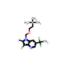 CC(F)(F)c1cnc2c(F)c(I)n(COCC[Si](C)(C)C)c2c1